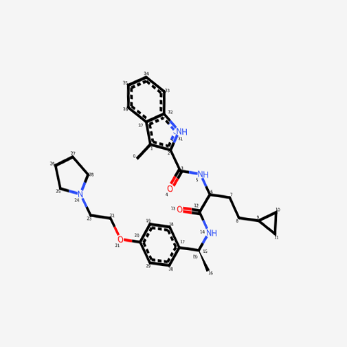 Cc1c(C(=O)NC(CCC2CC2)C(=O)N[C@@H](C)c2ccc(OCCN3CCCC3)cc2)[nH]c2ccccc12